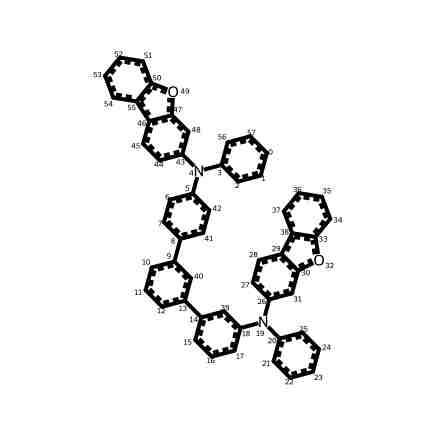 c1ccc(N(c2ccc(-c3cccc(-c4cccc(N(c5ccccc5)c5ccc6c(c5)oc5ccccc56)c4)c3)cc2)c2ccc3c(c2)oc2ccccc23)cc1